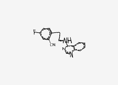 N#Cc1cc(F)ccc1CCNc1ncnc2ccccc12